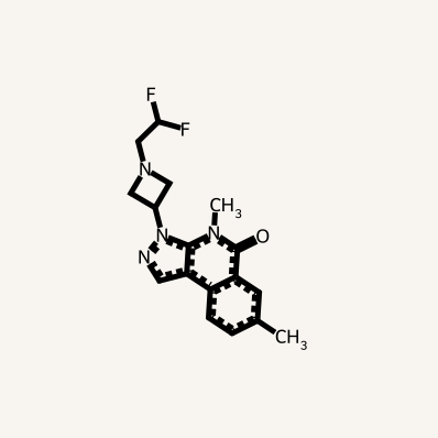 Cc1ccc2c(c1)c(=O)n(C)c1c2cnn1C1CN(CC(F)F)C1